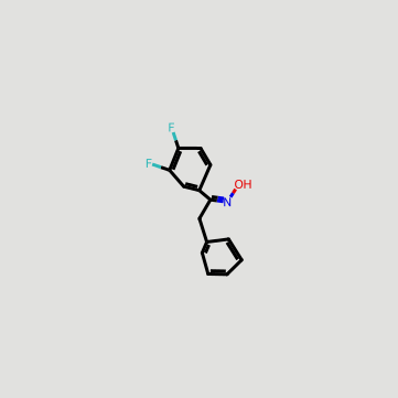 ON=C(Cc1ccccc1)c1ccc(F)c(F)c1